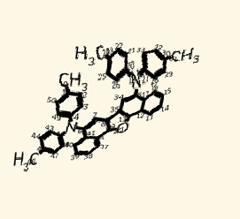 Cc1ccc(N(C2=CC3C(OC4C5C=CC=CC5C(N(c5ccc(C)cc5)c5ccc(C)cc5)=CC34)c3ccccc32)c2ccc(C)cc2)cc1